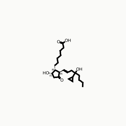 CCCCC(O)(CC=C[C@H]1C(=O)C[C@H](O)[C@@H]1CCCCCCC(=O)O)C1CC1